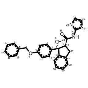 C[C@@]1(c2ccc(OCc3ccccc3)cc2)c2ccccc2C[C@@H]1C(=O)Nc1nccs1